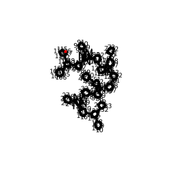 c1ccc(-c2cc(-c3ccccc3)cc(-c3cccc(-c4nc(-c5ccccc5)nc(-c5cccc(-c6cccc7c6c6cc(-c8ccccc8)ccc6n7-c6cccc(-c7cccc(-n8c9ccc(-c%10ccccc%10)cc9c9c(-c%10cccc(-c%11nc(-c%12ccccc%12)nc(-c%12cccc(-c%13cc(-c%14ccccc%14)cc(-c%14ccccc%14)c%13)c%12)n%11)c%10)cccc98)c7)c6)c5)n4)c3)c2)cc1